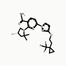 C[C@@H]1CN(c2nc(-n3ccc(OCCC4(C(F)(F)F)CC4)n3)ccc2C(N)=O)C(C)(C)C1